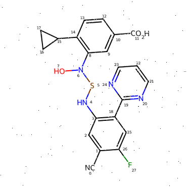 N#Cc1cc(NSN(O)c2cc(C(=O)O)ccc2C2CC2)c(-c2ncccn2)cc1F